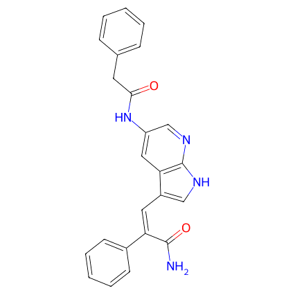 NC(=O)C(=Cc1c[nH]c2ncc(NC(=O)Cc3ccccc3)cc12)c1ccccc1